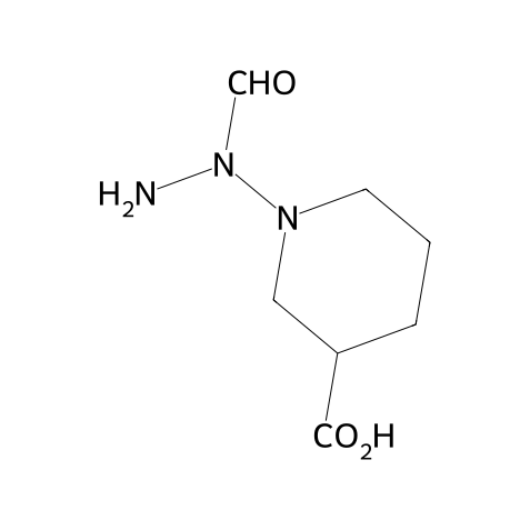 NN(C=O)N1CCCC(C(=O)O)C1